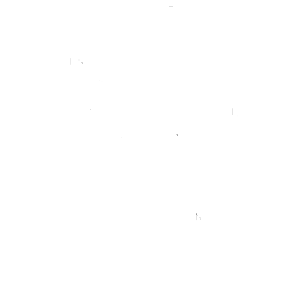 C[C@H]1c2cc(F)cc(C(N)=O)c2C(=O)N1C1CCN(C2CCCCC2)CC1